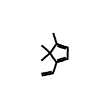 C=CC1=CC=C(C)C1(C)C